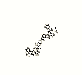 CN(C)[C@@H](C(=O)N1CCC[C@H]1C(=O)Nc1ccc2c(c1)CC(C1Cc3ccc(NC(=O)[C@@H]4CCCN4C(=O)[C@@H](c4ccccc4)N(C)C)cc3S1)S2)c1ccccc1